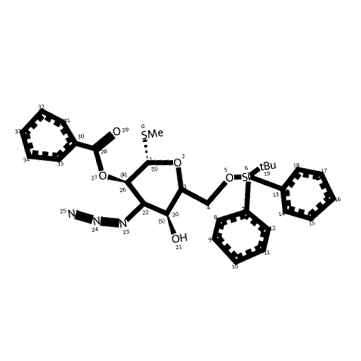 CS[C@@H]1OC(CO[Si](c2ccccc2)(c2ccccc2)C(C)(C)C)[C@@H](O)C(N=[N+]=[N-])[C@H]1OC(=O)c1ccccc1